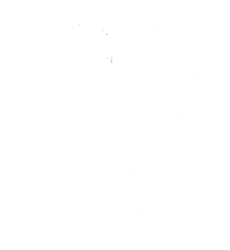 c1ccc(-c2ccc(-c3cccc(-c4cccc(-c5nc(-c6cccc(-c7cccc(-c8cccc(-c9ccccc9)c8)c7)c6)c6c(n5)oc5ccccc56)c4)c3)cc2)cc1